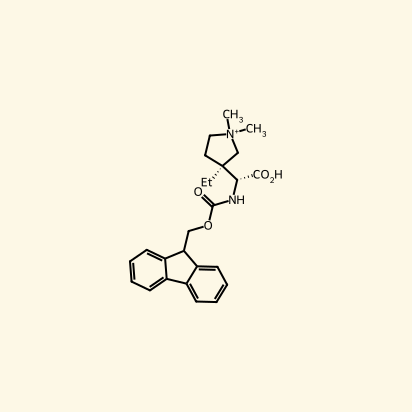 CC[C@]1([C@@H](NC(=O)OCC2c3ccccc3-c3ccccc32)C(=O)O)CC[N+](C)(C)C1